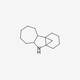 C1CCC2NC34CCCCC3(C4)C2CC1